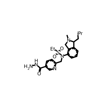 CCS(=O)(=O)N(Cc1ccc(C(=O)NN)cn1)c1cccc2c1CN(C)C2CC(C)C